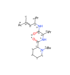 CCC(C)N1CCCCC1C(=O)NC(C(=O)NC(/C=C(\C)C(C)=O)C(C)C)C(C)C